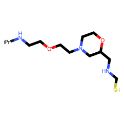 CC(C)NCCOCCN1CCOC(CNCS)C1